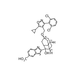 O=C(O)c1ccc2nc(C3(O)C4C[C@H]5C[C@H]3C[C@](OCc3c(-c6c(Cl)cccc6Cl)noc3C3CC3)(C4)C5)sc2c1